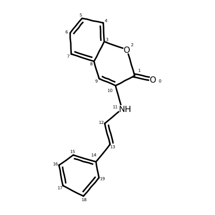 O=c1oc2ccccc2cc1NC=Cc1ccccc1